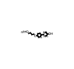 CCCOCCCCOc1ccc(-c2ncc(O)cn2)cc1